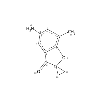 Cc1cc(N)cc2c1OC1(CC1)C2=O